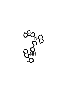 CC1C=CC=CC1c1ccc2ccccc2c1Nc1ccc(-c2ccc(N(c3ccc4oc5ccccc5c4c3)c3cccc4ccccc34)cc2)cc1